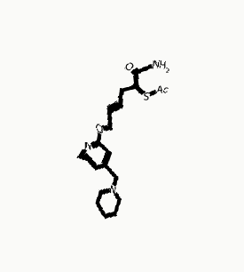 CC(=O)SC(CC=CCOc1cc(CN2CCCCC2)ccn1)C(N)=O